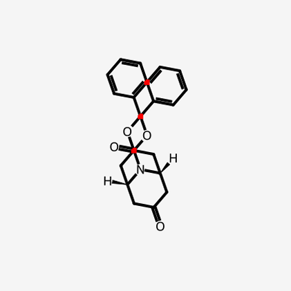 O=C1C[C@@H]2CC(OCc3ccccc3)C[C@H](C1)N2C(=O)OCc1ccccc1